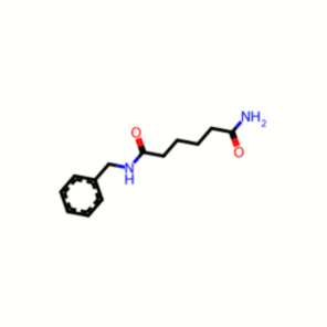 NC(=O)CCCCC(=O)NCc1ccccc1